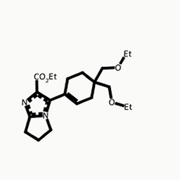 CCOCC1(COCC)CC=C(c2c(C(=O)OCC)nc3n2CCC3)CC1